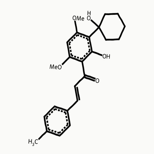 COc1cc(OC)c(C2(O)CCCCC2)c(O)c1C(=O)C=Cc1ccc(C)cc1